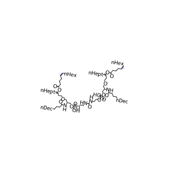 CCCCCC/C=C\CCCC(=O)O[C@H](CCCCCCC)CCOCC(COP(=O)(O)OCCNC(=O)NCCOP(=O)(O)OCC(COCC[C@@H](CCCCCCC)OC(=O)CCC/C=C\CCCCCC)NC(=O)CCCCCCCCCCCCC)NC(=O)CCCCCCCCCCCCC